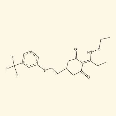 CCONC(CC)=C1C(=O)CC(CCSc2cccc(C(F)(F)F)c2)CC1=O